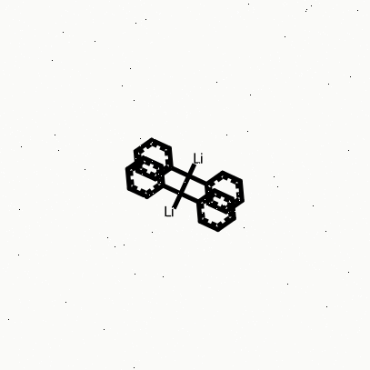 [Li][C](c1ccccc1)(c1ccccc1)[C]([Li])(c1ccccc1)c1ccccc1